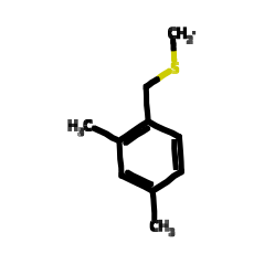 [CH2]SCc1ccc(C)cc1C